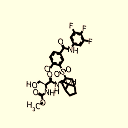 COC(=O)N[C@@H](CO)C(=O)NCC1(O)C2CCC1CC(S(=O)(=O)c1cc(C(=O)Nc3cc(F)c(F)c(F)c3)ccc1Cl)C2